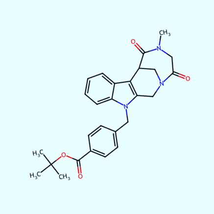 CN1CC(=O)N2Cc3c(c4ccccc4n3Cc3ccc(C(=O)OC(C)(C)C)cc3)C(C2)C1=O